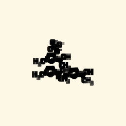 CC(O)[n+]1ccn(C)c1.CC(O)[n+]1ccn(C)c1.CC(O)[n+]1ccn(C)c1.O=P([O-])([O-])[O-]